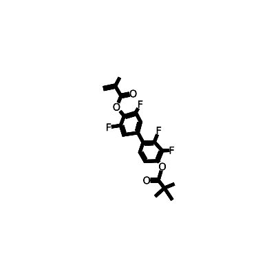 C=C(C)C(=O)Oc1c(F)cc(-c2ccc(OC(=O)C(C)(C)C)c(F)c2F)cc1F